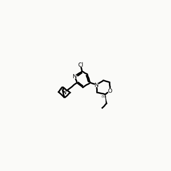 CC[C@H]1CN(c2cc(Cl)nc(N3CC4CC3C4)c2)CCO1